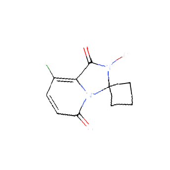 O=C1c2c(Cl)ccc(=O)n2C2(CCC2)N1Br